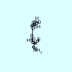 NC(=S)c1cccc(-c2cn(C3CCC(F)(F)CC3)c3cc(NC(=O)CCOCCCCCCOc4cccc5c4C(O)N(C4CCC(=O)NC4=O)C5=O)ccc23)c1